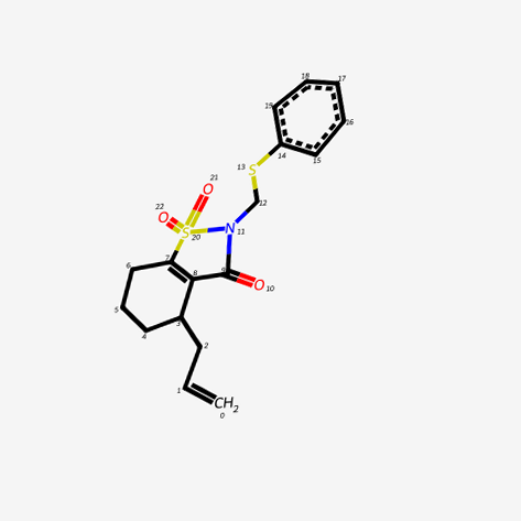 C=CCC1CCCC2=C1C(=O)N(CSc1ccccc1)S2(=O)=O